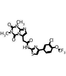 Cn1c(=O)n(C)c2ncc(CC(=O)Nc3nc(-c4ccc(OC(F)(F)F)c(Cl)c4)cs3)n2c1=O